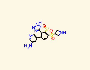 Nc1cncc(-c2ccc(S(=O)(=O)C3CNC3)c([S+]=O)c2-c2nnn[nH]2)c1